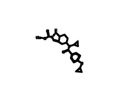 CC(C)(C)OC(=O)N1C=C2CC(N(C(=O)c3ccc(OC4CC4)cc3)C3CC3)CCC2N1